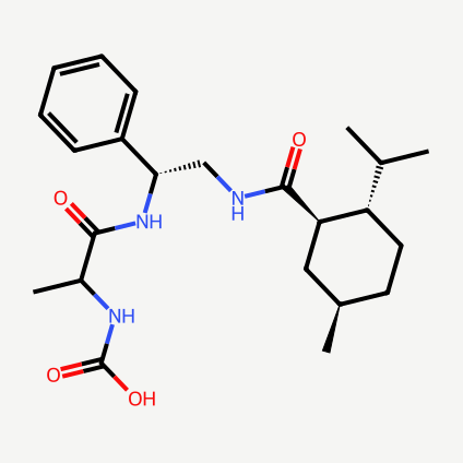 CC(NC(=O)O)C(=O)N[C@@H](CNC(=O)[C@@H]1C[C@H](C)CC[C@H]1C(C)C)c1ccccc1